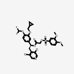 COc1ccc(S(=O)(=O)OCC(=O)O[C@@H](Cc2c(Cl)cncc2Cl)c2ccc(OC(F)F)c(OCC3CC3)c2)cc1OC